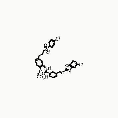 O=C(O)COc1ccc(CCCS(=O)(=O)c2ccc(Cl)cc2)cc1NC(=O)c1cccc(COc2nc3cc(Cl)ccc3s2)c1